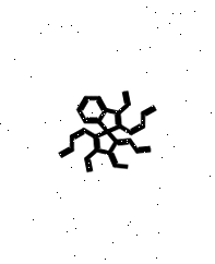 C=C/C=C\C1=C(C=C)C(=C/C)/C(=C\C=C)C12C(/C=C\C=C)=C(C=C)c1ccccc12